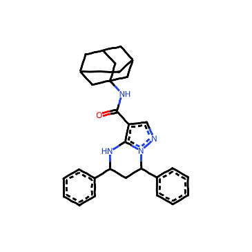 O=C(NC12CC3CC(CC(C3)C1)C2)c1cnn2c1NC(c1ccccc1)CC2c1ccccc1